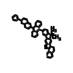 CC1(C)c2ccc(-c3c4ccccc4c(-c4ccc5cc(-c6ccccc6)ccc5c4)c4ccccc34)cc2-c2cc3sc4c5ccccc5ccc4c3cc21